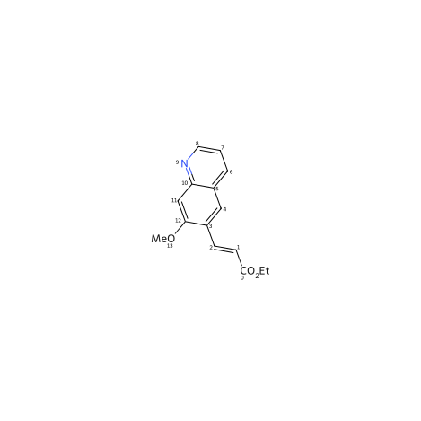 CCOC(=O)/C=C/c1cc2cccnc2cc1OC